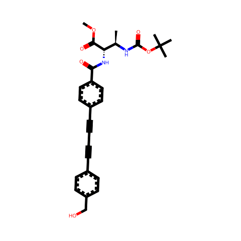 COC(=O)[C@@H](NC(=O)c1ccc(C#CC#Cc2ccc(CO)cc2)cc1)[C@@H](C)NC(=O)OC(C)(C)C